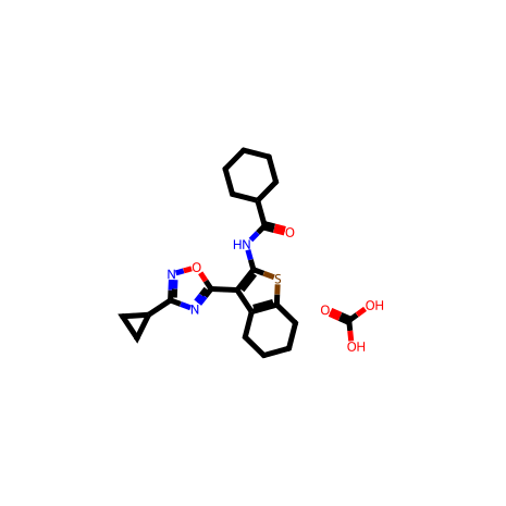 O=C(Nc1sc2c(c1-c1nc(C3CC3)no1)CCCC2)C1CCCCC1.O=C(O)O